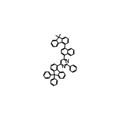 CC1(C)c2ccccc2-c2c(-c3ccc(-c4cc(-c5cccc6c5-c5ccccc5C6(c5ccccc5)c5ccccc5)nc(-c5ccccc5)n4)c4ccccc34)cccc21